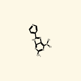 CCN(CC)c1nc(C)nc2[nH]c(-c3ccncc3)nc12